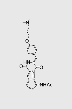 CC(=O)Nc1cccc(C=c2[nH]c(=O)c(=Cc3ccc(OCCCN(C)C)cc3)[nH]c2=O)c1